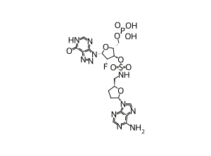 Nc1ncnc2c1ncn2[C@H]1CC[C@@H](CNS(=O)(=O)O[C@H]2[C@H](F)[C@H](n3nnc4c(=O)[nH]cnc43)O[C@@H]2COP(=O)(O)O)O1